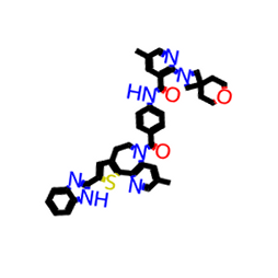 Cc1cnc(N2CC3(CCOCC3)C2)c(C(=O)Nc2ccc(C(=O)N3CCc4cc(-c5nc6ccccc6[nH]5)sc4-c4ncc(C)cc43)cc2)c1